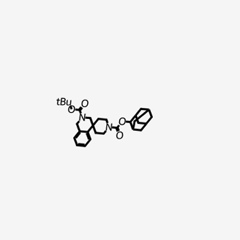 CC(C)(C)OC(=O)N1Cc2ccccc2C2(CCN(C(=O)OC3C4CC5CC(C4)CC3C5)CC2)C1